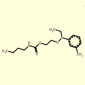 CCCCNC(=O)OCCON(CC)c1cccc(C)c1